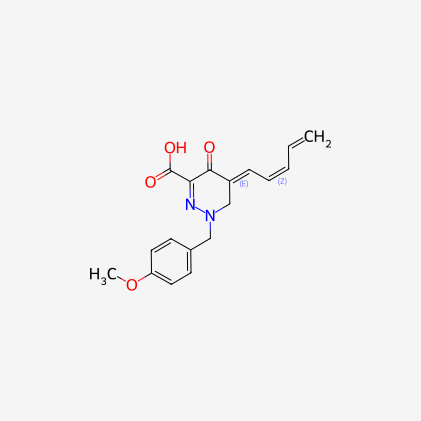 C=C/C=C\C=C1/CN(Cc2ccc(OC)cc2)N=C(C(=O)O)C1=O